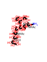 CC(=O)NC1[C@H](OCCN)OC(CO)[C@@H](O[C@@H]2OC(CO)[C@@H](O[C@@H]3OC(CO[C@H]4OC(CO[C@H]5OC(CO)[C@@H](O)[C@H](O)C5O)[C@@H](O)[C@H](O[C@H]5OC(CO)[C@@H](O)C(O)C5O)C4O)[C@@H](O)[C@H](O[C@H]4OC(CO)[C@@H](O)C(O)C4O[C@@H]4OC(CO)[C@@H](O[C@@H]5OC(CO)[C@H](O)[C@H](O[C@]6(C(=O)O)CC(O)[C@@H](C)C([C@H](O)[C@H](O)CO)O6)C5O)[C@H](O)C4NC(C)=O)C3O)[C@H](O)C2NC(C)=O)[C@@H]1O